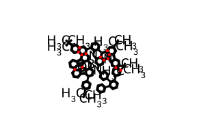 CC(C)(C)c1ccc(-c2cc3c(c4oc5ccccc5c24)B2c4c(cc(-n5c6ccc(C(C)(C)C)cc6c6cc(C(C)(C)C)ccc65)cc4N(c4c(-c5ccccc5)cccc4-c4ccccc4)c4cc(-c5ccc(C(C)(C)C)cc5)c5c(oc6ccccc65)c42)N3c2ccc(-c3c(-c4ccccc4)cccc3-c3ccccc3)cc2)cc1